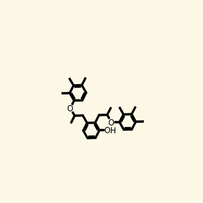 Cc1ccc(OC(C)Cc2cccc(O)c2CC(C)Oc2ccc(C)c(C)c2C)c(C)c1C